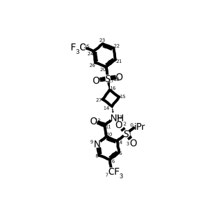 CC(C)S(=O)(=O)c1cc(C(F)(F)F)cnc1C(=O)N[C@H]1C[C@H](S(=O)(=O)c2cccc(C(F)(F)F)c2)C1